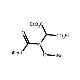 CCCCCC(=O)N(OC(C)(C)C)C(C(=O)OCC)C(=O)OCC